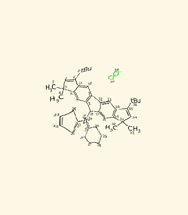 CC(C)(C)C1=CC(C)(C)c2cc3c(cc21)-c1cc2c(cc1[CH]3[Zr+2]([C]1=CC=CC1)=[C]1CCCCC1)C(C)(C)C=C2C(C)(C)C.[Cl-].[Cl-]